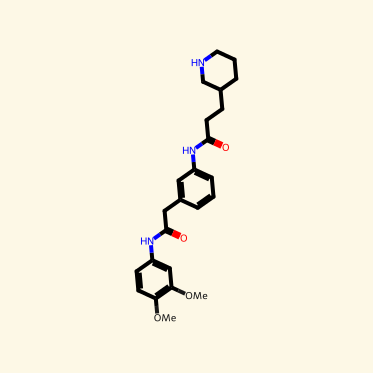 COc1ccc(NC(=O)Cc2cccc(NC(=O)CCC3CCCNC3)c2)cc1OC